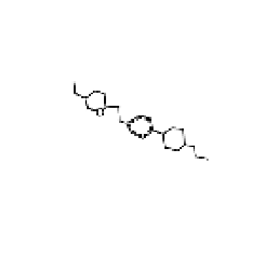 CCCC1CCC(c2ccc(CCC3CCC(CC)CO3)cc2)CC1